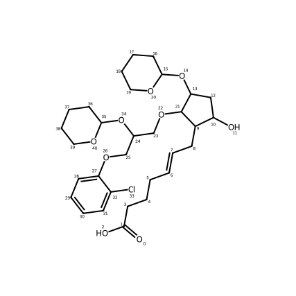 O=C(O)CCCC=CCC1C(O)CC(OC2CCCCO2)C1OCC(COc1ccccc1Cl)OC1CCCCO1